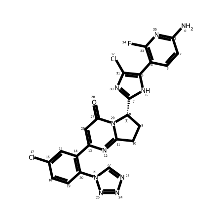 Nc1ccc(-c2[nH]c([C@@H]3CCc4nc(-c5cc(Cl)ccc5-n5cnnn5)cc(=O)n43)nc2Cl)c(F)n1